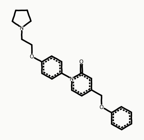 O=c1cc(COc2ccccc2)ccn1-c1ccc(OCCN2CCCC2)cc1